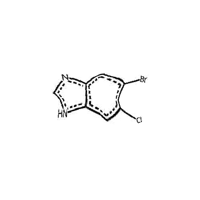 Clc1cc2[nH]cnc2cc1Br